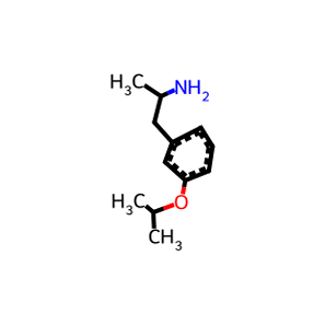 CC(N)Cc1cccc(OC(C)C)c1